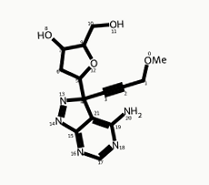 COCC#CC1(C2CC(O)C(CO)O2)N=Nc2ncnc(N)c21